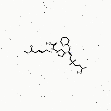 COC(=O)CC=CCC[C@H](C(=O)O)[C@@H]1CC[C@@H](/C(=C\CC(C)(C)CCC(C)O)OC2CCCCO2)C1